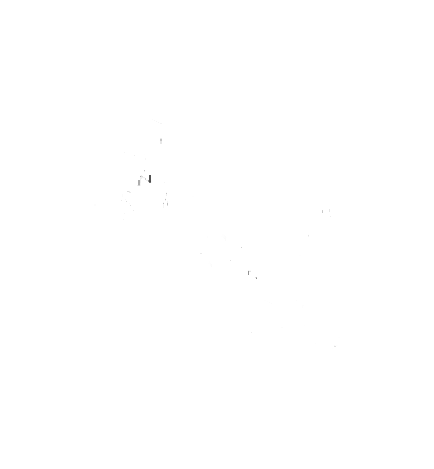 CC1C=Cc2c(c3cc(-c4ccc5c(c4)c4ccccc4n5-c4ccccc4)ccc3n2-c2cccc3c2oc2ccccc23)C1